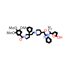 COc1cc(C(=O)N2CCC(CCN3CCC(C(=O)c4nc5ccccc5n4C(C)c4ccc(O)o4)CC3)(c3ccccc3)C2)cc(OC)c1OC